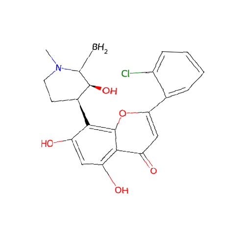 BC1[C@@H](O)[C@@H](c2c(O)cc(O)c3c(=O)cc(-c4ccccc4Cl)oc23)CCN1C